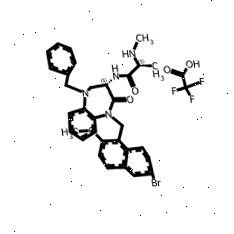 CN[C@@H](C)C(=O)N[C@H]1CN(Cc2ccccc2)c2ccccc2N(Cc2c(OC)ccc3cc(Br)ccc23)C1=O.O=C(O)C(F)(F)F